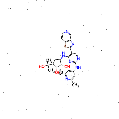 Cc1cc(Nc2ncc(-c3nc4cnccc4s3)c(N[C@@H]3CC(C(C)(C)O)[C@@H](O)[C@H]3O)n2)cc(C)n1